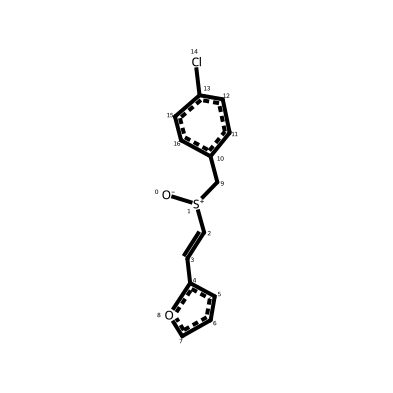 [O-][S+](C=Cc1ccco1)Cc1ccc(Cl)cc1